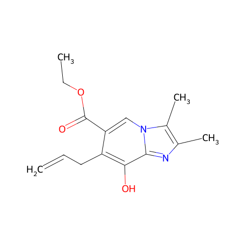 C=CCc1c(C(=O)OCC)cn2c(C)c(C)nc2c1O